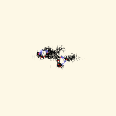 CCOC(=O)OC1=C(c2cc(C)ccc2C)C(=O)N[C@]12CC[C@@H](OC)CC2.CC[C@H](C)[C@H]1O[C@]2(C=C[C@@H]1C)C[C@@H]1C[C@@H](C/C=C(\C)[C@@H](O[C@H]3C[C@H](OC)[C@@H](O[C@H]4C[C@H](OC)[C@@H](O)[C@H](C)O4)[C@H](C)O3)[C@@H](C)/C=C/C=C3\CO[C@@H]4[C@H](O)C(C)=C[C@@H](C(=O)O1)[C@]34O)O2.CO[C@H]1C[C@H](O[C@H]2[C@H](C)O[C@@H](O[C@@H]3/C(C)=C/C[C@@H]4C[C@@H](C[C@]5(C=C[C@H](C)[C@@H](C(C)C)O5)O4)OC(=O)[C@@H]4C=C(C)[C@@H](O)[C@H]5OC/C(=C\C=C\[C@@H]3C)[C@]54O)C[C@@H]2OC)O[C@@H](C)[C@@H]1O